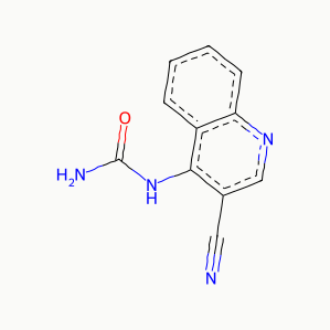 N#Cc1cnc2ccccc2c1NC(N)=O